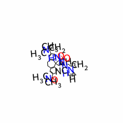 C=C(c1ccc2c(c1)CCc1cc(C(=O)N(C)C)ccc1C2(C[C@@H](C)NCC(=C)N1C(C#N)C[C@@H]2CC21)c1nc(=O)o[nH]1)N(C)C